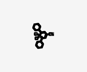 N#CC1=CC(C2CCCCC2)=P(Cl)(Cl)C(C2CCCCC2)=C1